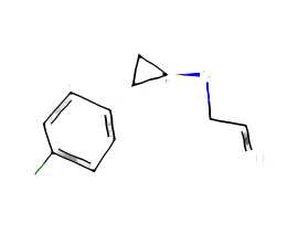 C=CCN[C@@H]1C[C@H]1c1ccc(F)cc1